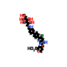 O=C(O)[C@H]1C[C@@H](Oc2nc3nc(-c4ccc(-c5ccc(CNCC(O)C(O)C(O)C(O)CO)cc5)cc4)c(Cl)cc3[nH]2)CCO1